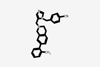 Cc1ccccc1-c1ccc2c(c1)CN(Cc1cncn1Cc1ccc(C#N)cc1)CC2